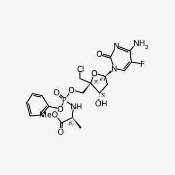 COC(=O)[C@H](C)NP(=O)(OC[C@@]1(CCl)O[C@@H](n2cc(F)c(N)nc2=O)C[C@@H]1O)Oc1ccccc1